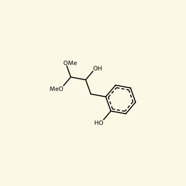 COC(OC)C(O)Cc1ccccc1O